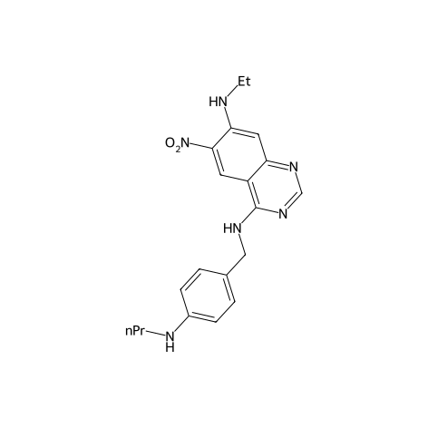 CCCNc1ccc(CNc2ncnc3cc(NCC)c([N+](=O)[O-])cc23)cc1